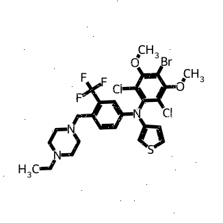 CCN1CCN(Cc2ccc(N(c3ccsc3)c3c(Cl)c(OC)c(Br)c(OC)c3Cl)cc2C(F)(F)F)CC1